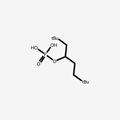 CC(C)(C)CCC(CC(C)(C)C)OP(=O)(O)O